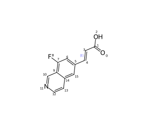 O=C(O)/C=C/c1cc(F)c2cnccc2c1